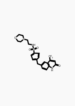 O=c1cc(C(F)(F)F)c2cc(Cc3ccc(S(=O)(=O)NCCN4CCOCC4)cc3)ccc2[nH]1